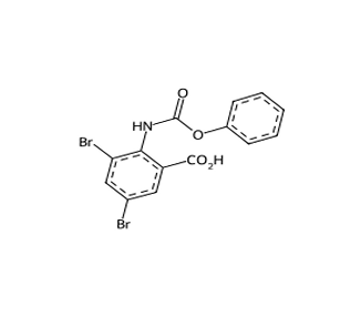 O=C(Nc1c(Br)cc(Br)cc1C(=O)O)Oc1ccccc1